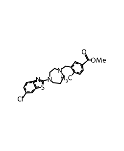 COC(=O)c1ccc(C)c(CN2CCCN(c3nc4ccc(Cl)cc4s3)CC2)c1